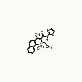 CCN1C(C(=O)Nc2nccs2)=C(O)c2ccc3ccccc3c2S1(=O)=O